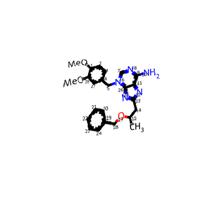 COc1ccc(Cn2cnc(N)c3nc(CC(C)OCc4ccccc4)nc2-3)cc1OC